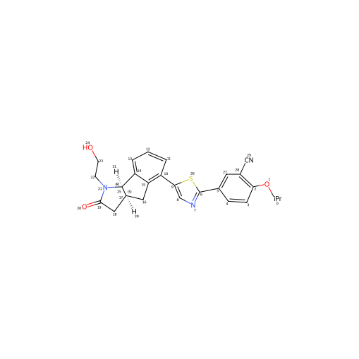 CC(C)Oc1ccc(-c2ncc(-c3cccc4c3C[C@H]3CC(=O)N(CCO)[C@@H]43)s2)cc1C#N